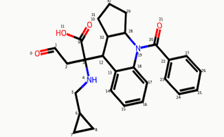 O=CCC(NCC1CC1)(C(=O)O)C1c2ccccc2N(C(=O)c2ccccc2)C2CCCC21